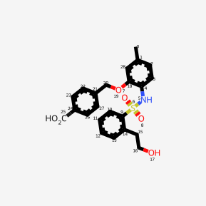 Cc1ccc(NS(=O)(=O)c2ccccc2CCO)c(OCc2ccc(C(=O)O)cc2)c1